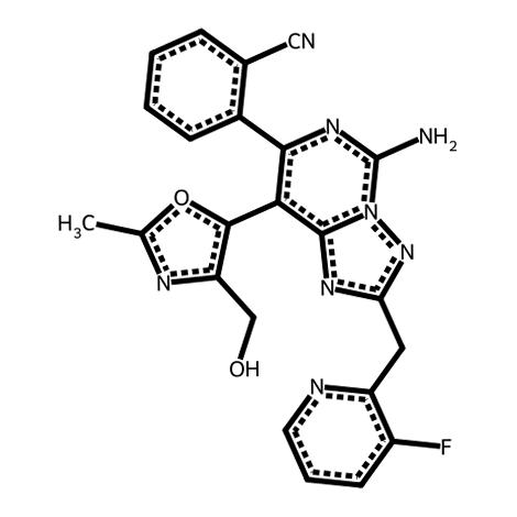 Cc1nc(CO)c(-c2c(-c3ccccc3C#N)nc(N)n3nc(Cc4ncccc4F)nc23)o1